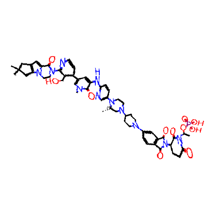 CC(OP(=O)(O)O)N1C(=O)CCC(N2C(=O)c3ccc(N4CCC(N5CCN(c6ccc(Nc7cc(-c8ccnc(N9CCn%10c(cc%11c%10CC(C)(C)C%11)C9=O)c8CO)cn(C)c7=O)nc6)[C@@H](C)C5)CC4)cc3C2=O)C1=O